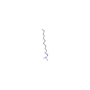 CCCCCCCCCCN=CN(C)C